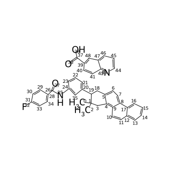 CC1(C)Cc2c(ccc3c2ccc2ccccc23)CC1c1cccc(NC(=O)c2ccc(F)cc2)c1.O=C(O)c1ccc2ncccc2c1